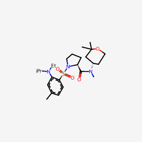 CCN(c1cc(C)ccc1S(=O)(=O)N1CCC[C@H]1C(=O)N(C)[C@H]1CCOC(C)(C)C1)C(C)C